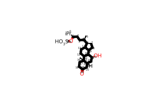 CC(C)[C@@H](CC[C@@H](C)[C@H]1CCC2C3C(CCC21)[C@@]1(C)CCC(=O)C[C@@H]1C[C@H]3O)OS(=O)(=O)O